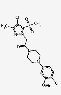 COc1cc(N2CCN(C(=O)Cn3nc(C(F)(F)F)c(Cl)c3S(C)(=O)=O)CC2)ccc1Cl